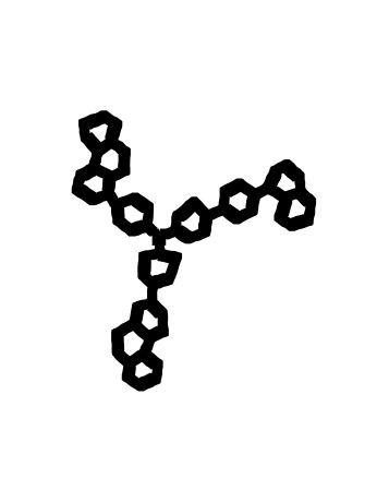 c1ccc2c(-c3ccc(-c4ccc(N(c5ccc(-c6ccc7c(ccc8ccccc87)c6)cc5)c5ccc(-c6cccc7c6ccc6ccccc67)cc5)cc4)cc3)cccc2c1